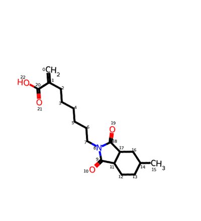 C=C(CCCCCCN1C(=O)C2CCC(C)CC2C1=O)C(=O)O